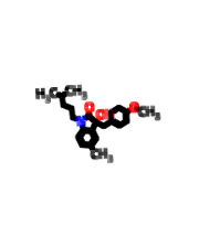 COC1=CC=C(CC2(O)C(=O)N(CCCC(C)C)c3ccc(C)cc32)[CH]C1